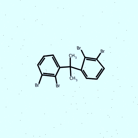 CC(C)(c1cccc(Br)c1Br)c1cccc(Br)c1Br